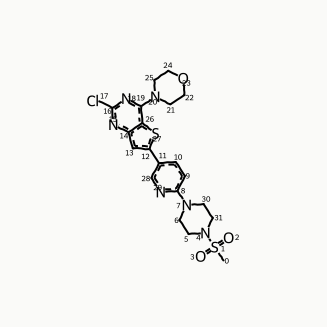 CS(=O)(=O)N1CCN(c2ccc(-c3cc4nc(Cl)nc(N5CCOCC5)c4s3)cn2)CC1